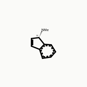 CN[C@H]1C=Cc2ccccc21